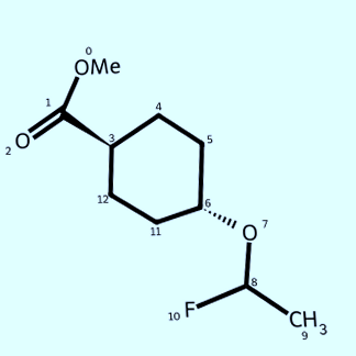 COC(=O)[C@H]1CC[C@H](OC(C)F)CC1